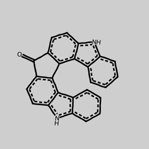 O=C1c2ccc3[nH]c4ccccc4c3c2-c2c1ccc1[nH]c3ccccc3c21